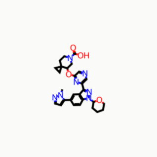 Cn1nccc1-c1ccc2c(c1)c(-c1cncc(OC3CN(C(=O)O)CCC34CC4)n1)nn2C1CCCCO1